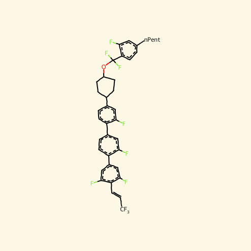 CCCCCc1ccc(C(F)(F)OC2CCC(c3ccc(-c4ccc(-c5cc(F)c(/C=C/C(F)(F)F)c(F)c5)c(F)c4)c(F)c3)CC2)c(F)c1